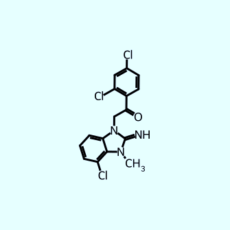 Cn1c(=N)n(CC(=O)c2ccc(Cl)cc2Cl)c2cccc(Cl)c21